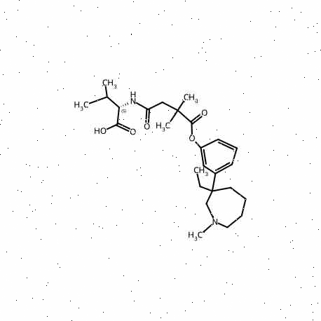 CCC1(c2cccc(OC(=O)C(C)(C)CC(=O)N[C@H](C(=O)O)C(C)C)c2)CCCCN(C)C1